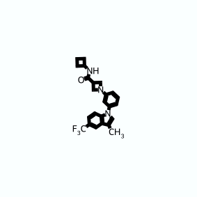 Cc1cn(-c2cccc(N3CC(C(=O)NC4CCC4)C3)c2)c2ccc(C(F)(F)F)cc12